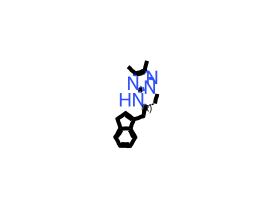 CC[C@H](CC1=CCc2ccccc21)Nc1nnc(C)c(C)n1